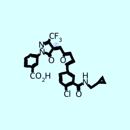 O=C(O)c1cccc(N2N=C(C(F)(F)F)/C(=C/c3ccc(-c4ccc(Cl)c(C(=O)NCC5CC5)c4)o3)C2=O)c1